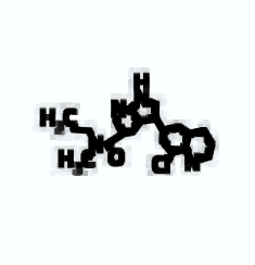 C=CCN(C)C(=O)c1cnc2[nH]cc(-c3cc(Cl)c4ncccc4c3)c2c1